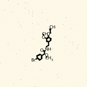 C#CCOc1ccc(CCNC(=O)[C@@H](OC)c2ccc(Br)cc2)cc1OC